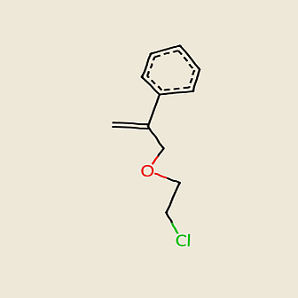 C=C(COCCCl)c1ccccc1